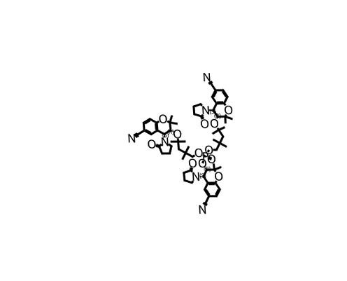 CC(C)(COP(=O)(OCC(C)(C)CC(C)(C)O[C@@H]1[C@@H](N2CCCC2=O)c2cc(C#N)ccc2OC1(C)C)O[C@@H]1[C@@H](N2CCCC2=O)c2cc(C#N)ccc2OC1(C)C)CC(C)(C)O[C@@H]1[C@@H](N2CCCC2=O)c2cc(C#N)ccc2OC1(C)C